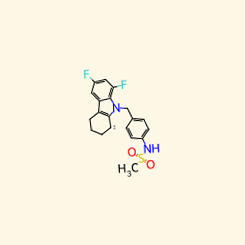 CS(=O)(=O)Nc1ccc(Cn2c3c(c4cc(F)cc(F)c42)CCC[C]3)cc1